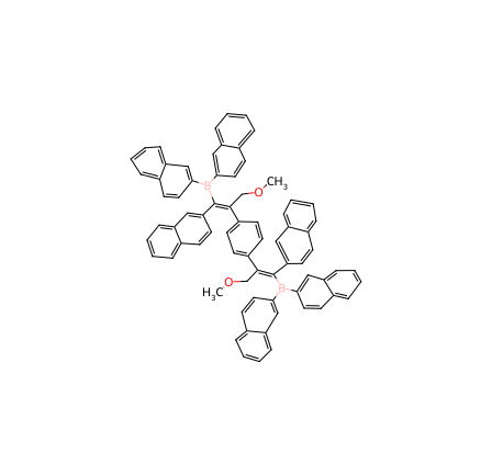 COCC(=C(B(c1ccc2ccccc2c1)c1ccc2ccccc2c1)c1ccc2ccccc2c1)c1ccc(C(COC)=C(B(c2ccc3ccccc3c2)c2ccc3ccccc3c2)c2ccc3ccccc3c2)cc1